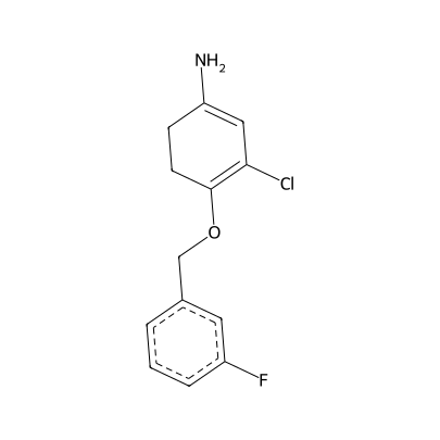 NC1=CC(Cl)=C(OCc2cccc(F)c2)CC1